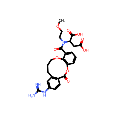 COCCN(C(=O)c1cccc2c1OCCCc1cc(NC(=N)N)ccc1C(=O)O2)C(CC(=O)O)C(=O)O